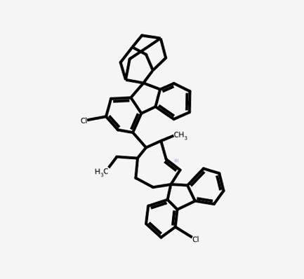 CCC1CCC2(/C=C/C(C)C1c1cc(Cl)cc3c1-c1ccccc1C31C3CC4CC(C3)CC1C4)c1ccccc1-c1c(Cl)cccc12